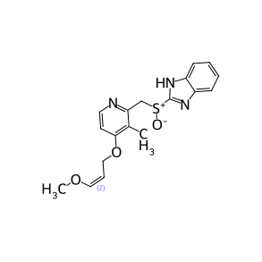 CO/C=C\COc1ccnc(C[S+]([O-])c2nc3ccccc3[nH]2)c1C